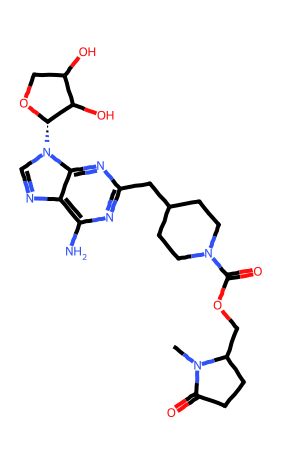 CN1C(=O)CCC1COC(=O)N1CCC(Cc2nc(N)c3ncn([C@@H]4OCC(O)C4O)c3n2)CC1